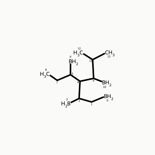 BCC(B)C(C(B)CC)C(B)C(C)C